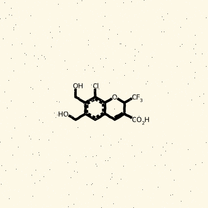 O=C(O)C1=Cc2cc(CO)c(CO)c(Cl)c2OC1C(F)(F)F